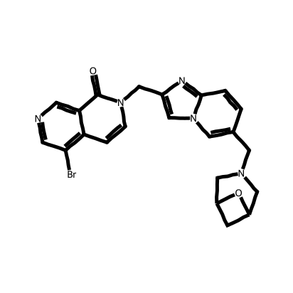 O=c1c2cncc(Br)c2ccn1Cc1cn2cc(CN3CC4CC(C3)O4)ccc2n1